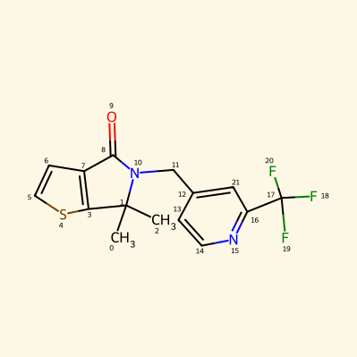 CC1(C)c2sccc2C(=O)N1Cc1ccnc(C(F)(F)F)c1